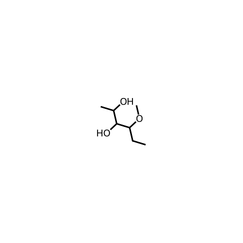 CCC(OC)C(O)C(C)O